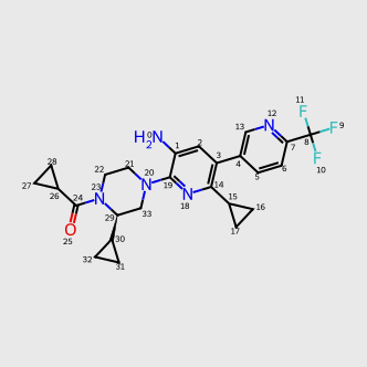 Nc1cc(-c2ccc(C(F)(F)F)nc2)c(C2CC2)nc1N1CCN(C(=O)C2CC2)[C@H](C2CC2)C1